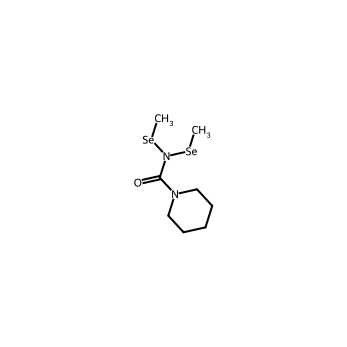 C[Se]N([Se]C)C(=O)N1CCCCC1